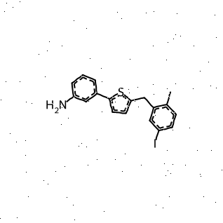 Cc1ccc(I)cc1Cc1ccc(-c2cccc(N)c2)s1